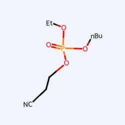 CCCCOP(=O)(OCC)OCCC#N